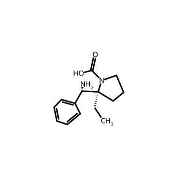 CC[C@@]1([C@@H](N)c2ccccc2)CCCN1C(=O)O